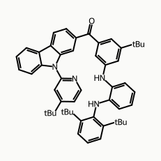 CC(C)(C)c1cc(Nc2ccccc2Nc2c(C(C)(C)C)cccc2C(C)(C)C)cc(C(=O)c2ccc3c4ccccc4n(-c4cc(C(C)(C)C)ccn4)c3c2)c1